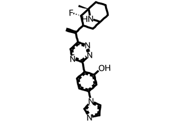 C=C(c1cnc(-c2ccc(-n3ccnc3)cc2O)nn1)C1CC2CCC[C@](C)(N2)[C@H]1F